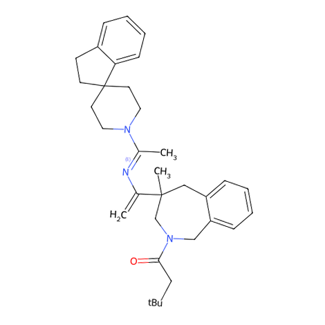 C=C(/N=C(\C)N1CCC2(CCc3ccccc32)CC1)C1(C)Cc2ccccc2CN(C(=O)CC(C)(C)C)C1